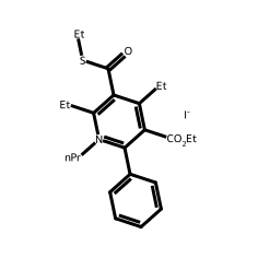 CCC[n+]1c(CC)c(C(=O)SCC)c(CC)c(C(=O)OCC)c1-c1ccccc1.[I-]